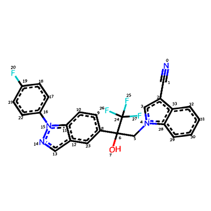 N#Cc1cn(CC(O)(c2ccc3c(cnn3-c3ccc(F)cc3)c2)C(F)(F)F)c2ccccc12